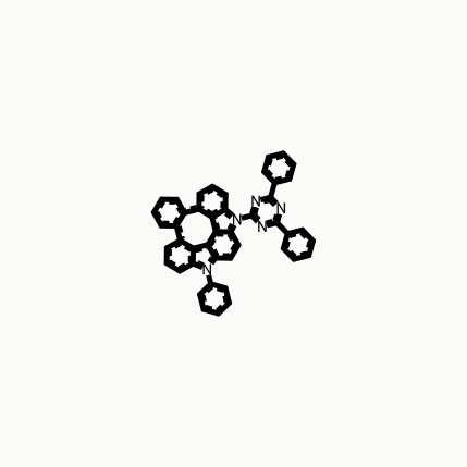 c1ccc(-c2nc(-c3ccccc3)nc(-n3c4cccc5c6ccccc6c6cccc7c6c6c(c54)c3ccc6n7-c3ccccc3)n2)cc1